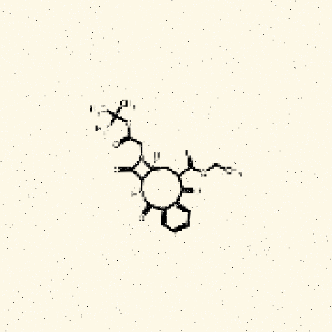 CCOC(=O)C1C[C@H]2C(NC(=O)c3ccccc3C1=O)C(=O)N2CC(=O)OC(C)(C)C